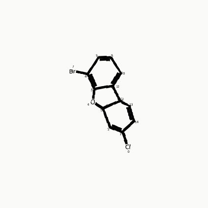 ClC1=CC2Oc3c(Br)cccc3C2C=C1